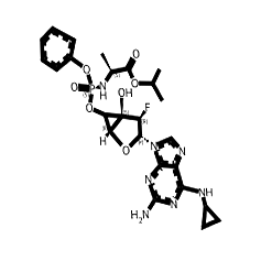 CC(C)OC(=O)[C@H](C)N[P@@](=O)(Oc1ccccc1)OC1[C@H]2O[C@@H](n3cnc4c(NC5CC5)nc(N)nc43)[C@H](F)[C@@]12O